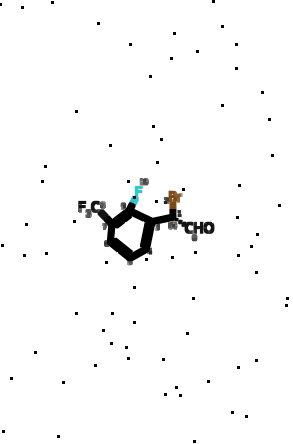 O=C[C@@H](Br)c1cccc(C(F)(F)F)c1F